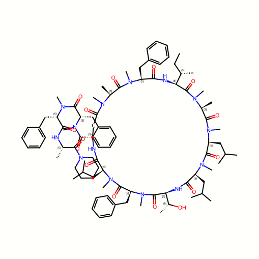 CC[C@H](C)[C@@H]1NC(=O)[C@H](Cc2ccccc2)N(C)C(=O)[C@H](C)N(C)C(=O)C[C@@H](C(=O)N(C)[C@@H](Cc2ccccc2)C(=O)N(C)[C@@H](Cc2ccccc2)C(=O)N[C@@H](C)C(=O)N2CCCCC2)NC(=O)[C@H](CC(C)C)N(C)C(=O)[C@H](Cc2ccccc2)N(C)C(=O)[C@H]([C@@H](C)O)NC(=O)[C@H](CC(C)C)N(C)C(=O)[C@H](CC(C)C)N(C)C(=O)[C@H](C)N(C)C1=O